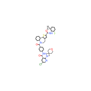 Cc1cccc(F)c1NC(=O)c1cc2c(s1)-c1ccccc1N(C(=O)c1ccc(NC(=O)c3cc(Cl)cnc3N3CC4(CCOCC4)C3)cc1)CC2